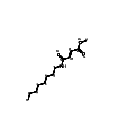 CCCCCCCCNC(=O)C=CC(=O)OC